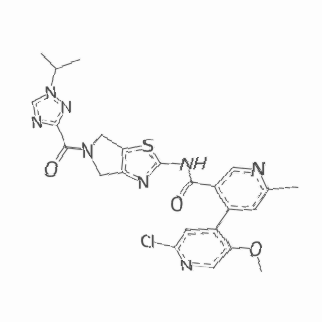 COc1cnc(Cl)cc1-c1cc(C)ncc1C(=O)Nc1nc2c(s1)CN(C(=O)c1ncn(C(C)C)n1)C2